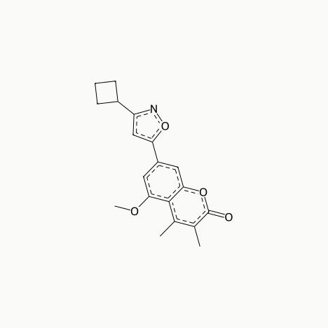 COc1cc(-c2cc(C3CCC3)no2)cc2oc(=O)c(C)c(C)c12